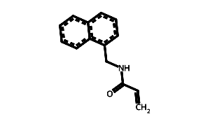 C=CC(=O)NCc1cccc2ccccc12